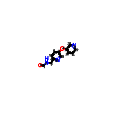 O=CNCc1ccc(Oc2cccnc2)cn1